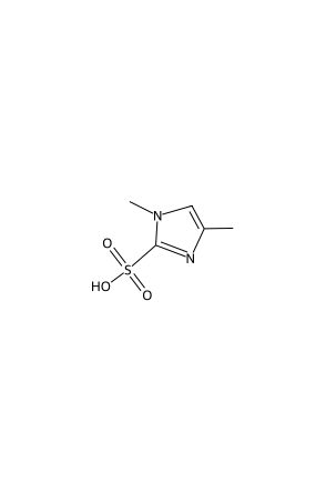 Cc1cn(C)c(S(=O)(=O)O)n1